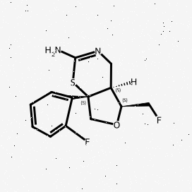 NC1=NC[C@H]2[C@@H](CF)OC[C@]2(c2ccccc2F)S1